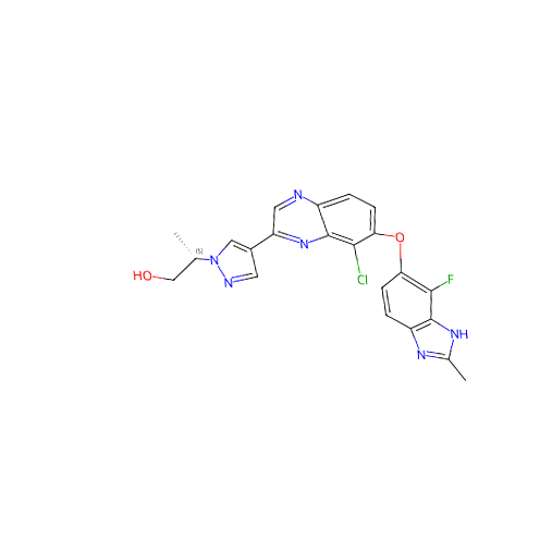 Cc1nc2ccc(Oc3ccc4ncc(-c5cnn([C@@H](C)CO)c5)nc4c3Cl)c(F)c2[nH]1